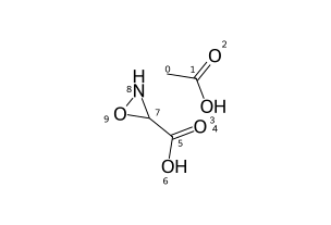 CC(=O)O.O=C(O)C1NO1